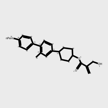 C=C(CO)C(=O)OC1CCC(c2ccc(-c3ccc(CCCCC)cc3)c(C)c2)CC1